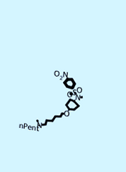 CCCCCN(C)CCCCCCO[C@H]1CC[C@H](N(C)S(=O)(=O)c2ccc([N+](=O)[O-])cc2)CC1